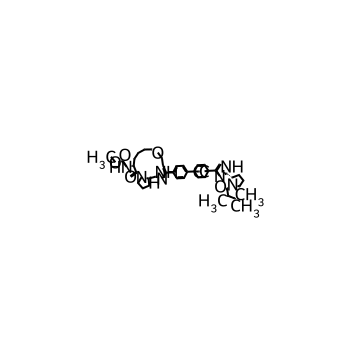 COC(=O)N[C@H]1CCCCOCc2[nH]c(nc2-c2ccc(C34CCC(c5c[nH]c([C@@H]6CCCN6C(=O)[C@@H](C)C(C)C)n5)(CC3)CC4)cc2)[C@@H]2CCCN2C1=O